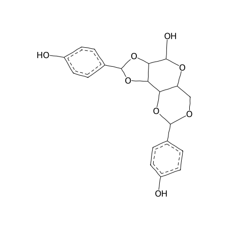 Oc1ccc(C2OCC3OC(O)C4OC(c5ccc(O)cc5)OC4C3O2)cc1